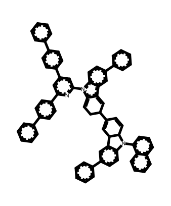 C1=CC2C(C=C1C1C=c3c(n(-c4cc(-c5ccc(-c6ccccc6)cc5)cc(-c5ccc(-c6ccccc6)cc5)n4)c4ccc(-c5ccccc5)cc34)=CC1)c1cc(-c3ccccc3)ccc1N2c1cccc2ccccc12